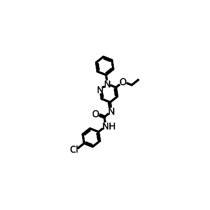 CCOc1cc(=NC(=O)Nc2ccc(Cl)cc2)cnn1-c1ccccc1